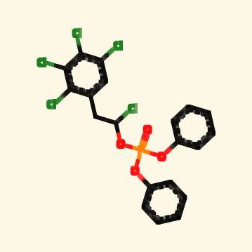 O=P(Oc1ccccc1)(Oc1ccccc1)OC(Cl)Cc1cc(Cl)c(Cl)c(Cl)c1Cl